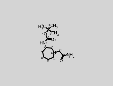 CC(C)(C)OC(=O)N[C@H]1CCCCN(CC(N)=O)C1